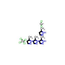 Cc1ccn[nH]1.Cc1ccn[nH]1.Cc1ccn[nH]1.Cc1ccn[nH]1.[Cl][Ga+][Cl].[Cl][Ga-]([Cl])([Cl])[Cl]